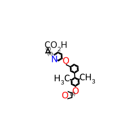 Cc1cc(O[C@H]2CCOC2)cc(C)c1-c1cccc(COc2ccc([C@@H]3C[C@H]3C(=O)O)nc2)c1